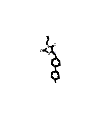 C=CCN1C(=O)S/C(=C\c2ccc(-c3ccc(C)cc3)cc2)C1=O